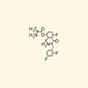 C[C@H](N)C(=O)Oc1ccc(F)c(C(=O)[C@@H](N)Cc2ccc(F)cc2F)c1F